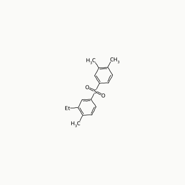 CCc1cc(S(=O)(=O)c2ccc(C)c(C)c2)ccc1C